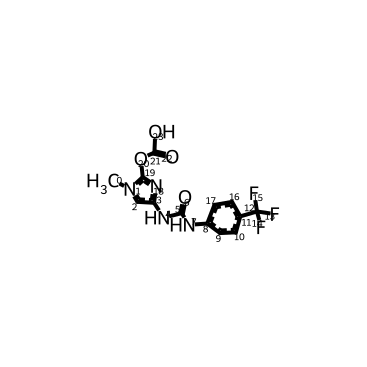 Cn1cc(NC(=O)Nc2ccc(C(F)(F)F)cc2)nc1OC(=O)O